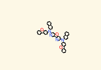 c1ccc2cc(N(c3ccc4c(c3)oc3ccccc34)c3cnc4c(c3)oc3cc(N(c5ccc6ccccc6c5)c5ccc6c(c5)oc5ccccc56)ncc34)ccc2c1